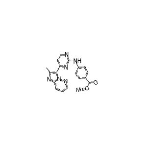 COC(=O)c1ccc(Nc2nccc(-c3c(C)nc4cccnn34)n2)cc1